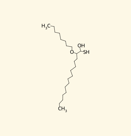 CCCCCCCCCCCCCC(OCCCCCCCC)C(O)S